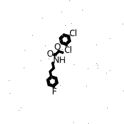 CC(Oc1ccc(Cl)cc1Cl)C(=O)NCCCc1ccc(F)cc1